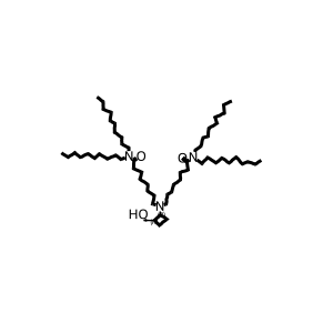 CCCCCCCCCCN(CCCCCCCCCC)C(=O)CCCCCCCN(CCCCCCCC(=O)N(CCCCCCCCCC)CCCCCCCCCC)[C@@H]1CC[C@H]1CO